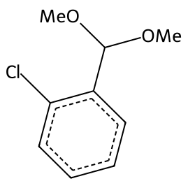 COC(OC)c1ccccc1Cl